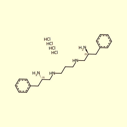 Cl.Cl.Cl.Cl.N[C@H](CNCCCNC[C@@H](N)Cc1ccccc1)Cc1ccccc1